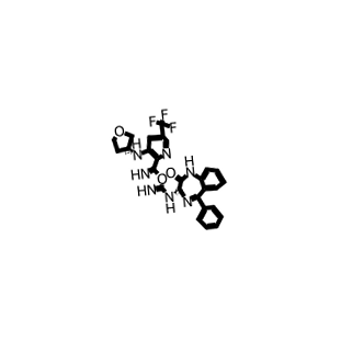 N=C(N[C@H]1N=C(c2ccccc2)c2ccccc2NC1=O)OC(=N)c1ncc(C(F)(F)F)cc1N[C@H]1CCOC1